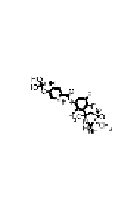 CN1C(=N)N[C@](C)(c2c(F)c(F)cc(NC(=O)c3ccc(OC(O)(O)O)cn3)c2F)CS1(=O)=O